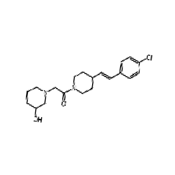 O=C(CN1CCCC(O)C1)N1CCC(C=Cc2ccc(Cl)cc2)CC1